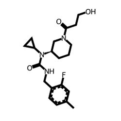 Cc1ccc(CNC(=O)N(C2CC2)[C@@H]2CCCN(C(=O)CCO)C2)c(F)c1